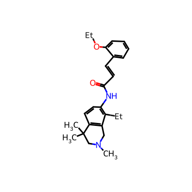 CCOc1ccccc1/C=C/C(=O)Nc1ccc2c(c1CC)CN(C)CC2(C)C